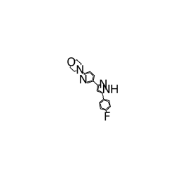 Fc1ccc(-c2cc(-c3ccc(N4CCOCC4)nc3)n[nH]2)cc1